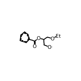 CCOCC(C[O])OC(=O)c1ccccc1